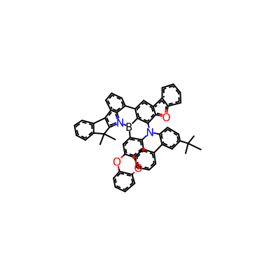 CC(C)(C)c1ccc(N2c3cc4c(cc3B3c5c(cc6c(oc7ccccc76)c52)-c2cccc5c6c(n3c25)C(C)(C)c2ccccc2-6)Oc2ccccc2O4)c(-c2ccccc2)c1